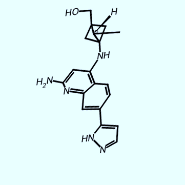 C[C@H]1C2(CO)CC1(Nc1cc(N)nc3cc(-c4ccn[nH]4)ccc13)C2